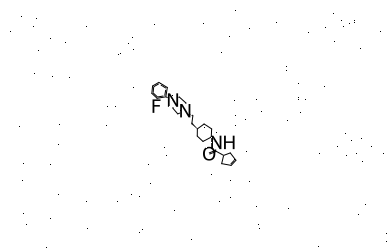 O=C(N[C@H]1CC[C@H](CCN2CCN(c3ccccc3F)CC2)CC1)C1CC=CC1